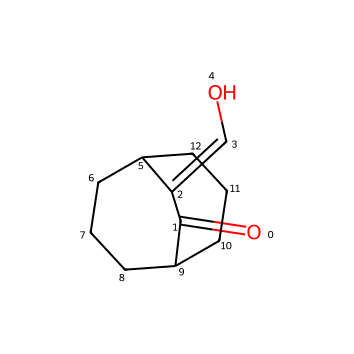 O=C1/C(=C/O)C2CCCC1CCC2